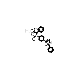 CC1(C)OC(=O)N([C@H]2CC[C@H](c3nnc(-c4ccccc4)o3)CC2)C1c1ccccc1